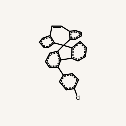 Clc1ccc(-c2cccc3c2-c2ccccc2C32c3ccccc3C=Cc3ccccc32)cc1